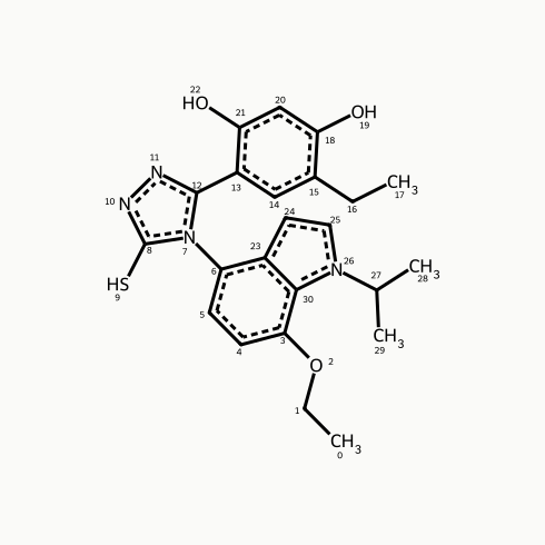 CCOc1ccc(-n2c(S)nnc2-c2cc(CC)c(O)cc2O)c2ccn(C(C)C)c12